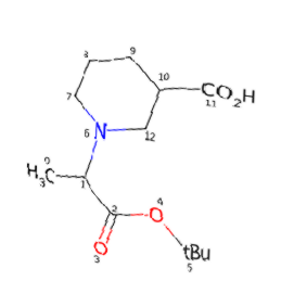 CC(C(=O)OC(C)(C)C)N1CCCC(C(=O)O)C1